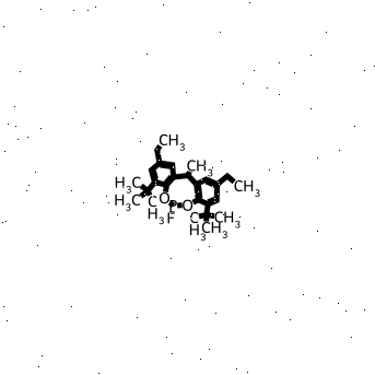 CCc1cc2c(c(C(C)(C)C)c1)OP(F)Oc1c(cc(CC)cc1C(C)(C)C)C2C